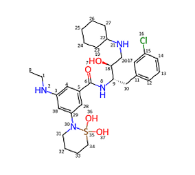 CCNc1cc(C(=O)N[C@@H](Cc2cccc(Cl)c2)[C@@H](O)CNC2CCCCC2)cc(N2CCCCS2(O)O)c1